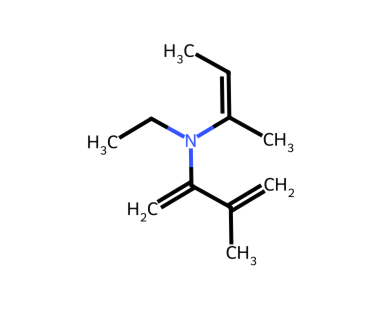 C=C(C)C(=C)N(CC)/C(C)=C\C